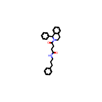 O=C(CCC(=O)N1CCc2ccccc2C1c1ccccc1)NCCCc1ccccc1